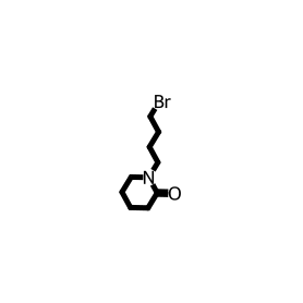 O=C1CCCCN1CCCCBr